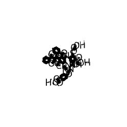 Cn1c(=O)c(C(=O)c2ccccc2)c2c3c(c(Nc4cc(Nc5nc(Cl)nc(Oc6ccc(S(=O)(=O)O)cc6)n5)c(S(=O)(=O)O)cc4SOOO)ccc31)C(=O)c1ccccc1-2